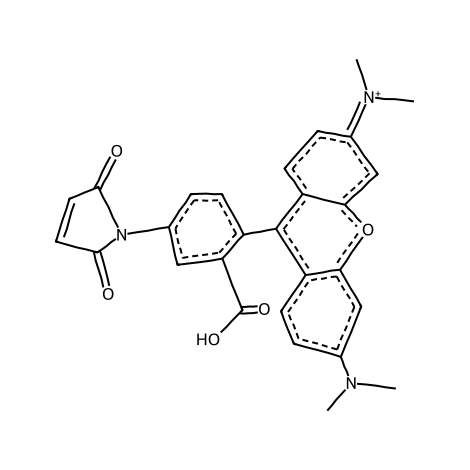 CN(C)c1ccc2c(-c3ccc(N4C(=O)C=CC4=O)cc3C(=O)O)c3ccc(=[N+](C)C)cc-3oc2c1